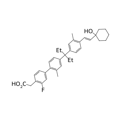 CCC(CC)(c1ccc(C=CC2(O)CCCCC2)c(C)c1)c1ccc(-c2ccc(CC(=O)O)c(F)c2)c(C)c1